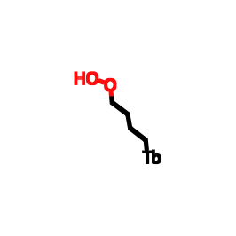 OOCCC[CH2][Tb]